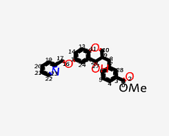 COC(=O)c1cccc(CC2COc3ccc(OCc4ccccn4)cc3C2O)c1